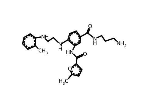 Cc1ccc(C(=O)Nc2cc(C(=O)NCCCN)ccc2NCCNc2ccccc2C)o1